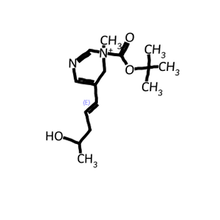 CC(O)C/C=C/C1=CN=C[N+](C)(C(=O)OC(C)(C)C)C1